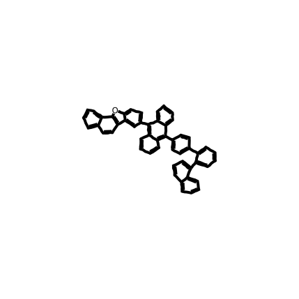 c1ccc(-c2cccc3ccccc23)c(-c2ccc(-c3c4ccccc4c(-c4ccc5oc6c7ccccc7ccc6c5c4)c4ccccc34)cc2)c1